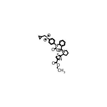 CCOC(=O)c1csc(C2CCCN2C(=O)c2ccccc2N(C(C)=O)c2ccc(S(=O)(=O)CC3CC3)cc2)n1